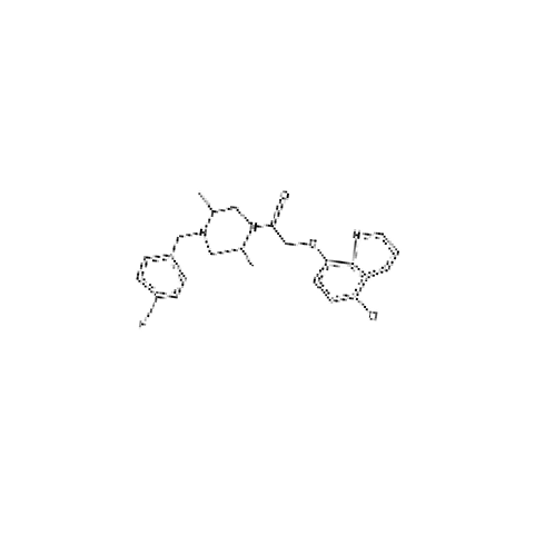 CC1CN(C(=O)COc2ccc(Cl)c3cccnc23)C(C)CN1Cc1ccc(F)cc1